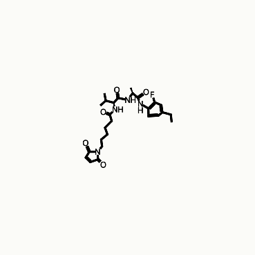 CCc1ccc(NC(=O)[C@H](C)NC(=O)[C@@H](NC(=O)CCCCCN2C(=O)C=CC2=O)C(C)C)c(F)c1